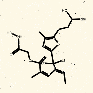 C=C(OCC(=O)NO)/C(C)=C\C(=C/C)C(CC)(CC)c1cc(C)c(CCC(O)C(C)(C)C)s1